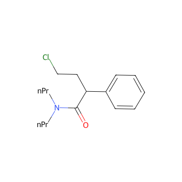 CCCN(CCC)C(=O)C(CCCl)c1ccccc1